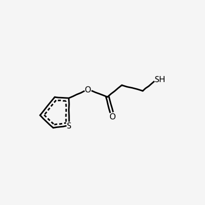 O=C(CCS)Oc1cccs1